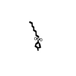 C=C/C=C/C=C/C=C/S(=O)(=O)c1ccc(C)cc1